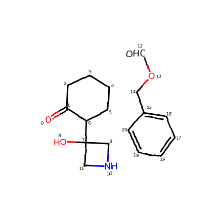 O=C1CCCCC1C1(O)CNC1.O=COCc1ccccc1